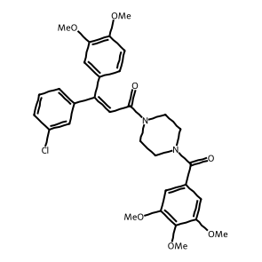 COc1ccc(/C(=C\C(=O)N2CCN(C(=O)c3cc(OC)c(OC)c(OC)c3)CC2)c2cccc(Cl)c2)cc1OC